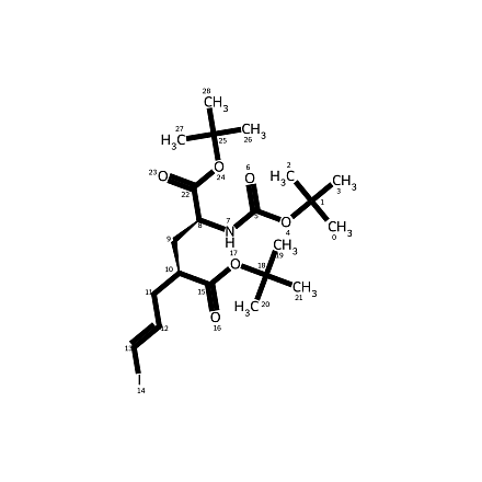 CC(C)(C)OC(=O)N[C@@H](C[C@H](C/C=C/I)C(=O)OC(C)(C)C)C(=O)OC(C)(C)C